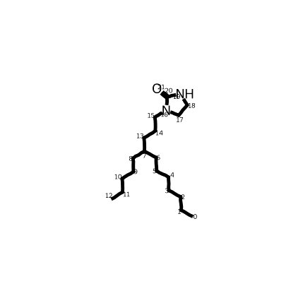 CCCCCCCC(CCCCC)CCCN1CCNC1=O